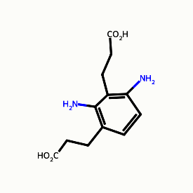 Nc1ccc(CCC(=O)O)c(N)c1CCC(=O)O